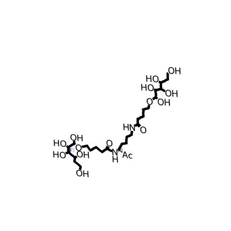 CC(=O)[C@@H](CCCCNC(=O)CCCCOC(O)C(O)C(O)C(O)CCO)NC(=O)CCCCOC(O)/C(O)=C(/O)C(O)CCO